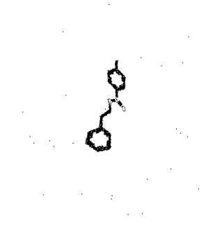 Cc1ccc(S(=O)OCCc2ccccc2)cc1